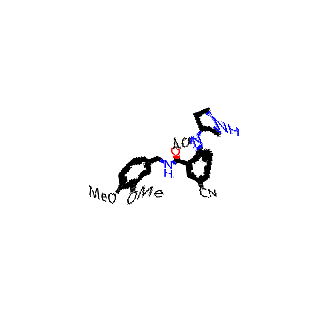 COc1ccc(CNC(=O)c2cc(C#N)ccc2N(C(C)=O)[C@H]2CCNC2)cc1OC